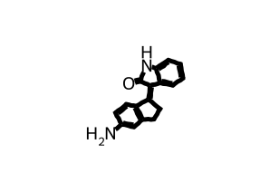 Nc1ccc2c(c1)CCC2=C1C(=O)Nc2ccccc21